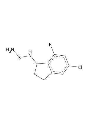 NSNC1CCc2cc(Cl)cc(F)c21